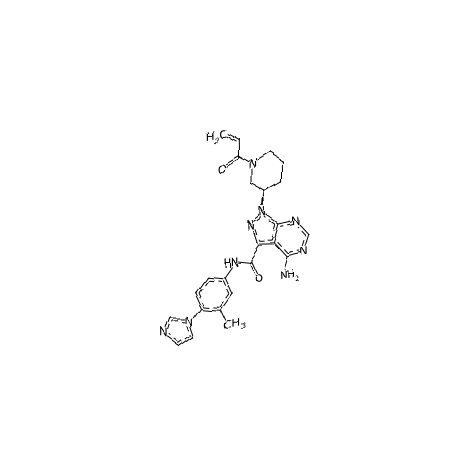 C=CC(=O)N1CCC[C@@H](n2nc(C(=O)Nc3ccc(-n4ccnc4)c(C)c3)c3c(N)ncnc32)C1